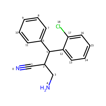 N#CC(CN)C(c1ccccc1)c1ccccc1Cl